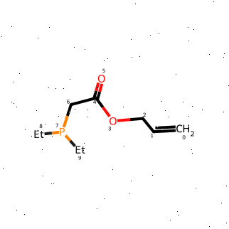 C=CCOC(=O)CP(CC)CC